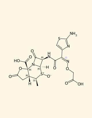 C[C@H]1[C@@H]2CC(=O)O[C@]2(C(=O)O)N2C(=O)[C@@H](NC(=O)/C(=N\OCC(=O)O)c3csc(N)n3)[C@H]2[S+]1[O-]